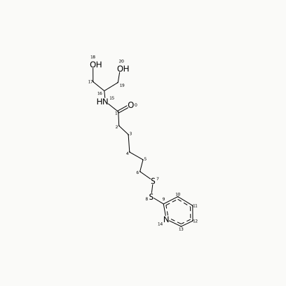 O=C(CCCCCSSc1ccccn1)NC(CO)CO